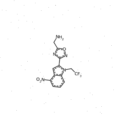 NCc1nc(-c2cc3c([N+](=O)[O-])cccc3n2CC(F)(F)F)no1